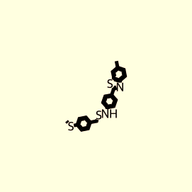 CSc1ccc(CSNc2ccc(-c3nc4ccc(C)cc4s3)cc2)cc1